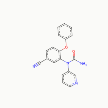 N#Cc1ccc(Oc2ccccc2)c(N(C(N)=O)c2cccnc2)c1